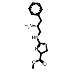 COC(=O)C1CSC(NC[C@@H](N)Cc2ccccc2)=N1